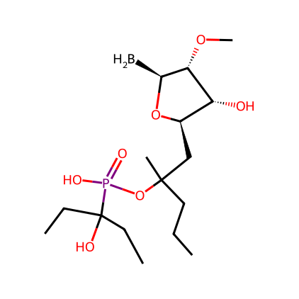 B[C@@H]1O[C@H](CC(C)(CCC)OP(=O)(O)C(O)(CC)CC)[C@@H](O)[C@H]1OC